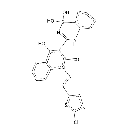 O=c1c(C2=NS(O)(O)c3ccccc3N2)c(O)c2ccccc2n1N=Cc1cnc(Cl)s1